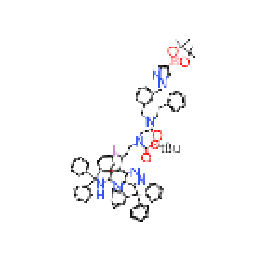 CC(C)(C)OC(=O)N(C/C=C(\I)c1cc(NC(c2ccccc2)(c2ccccc2)c2ccccc2)nc2c1N=NC2C(c1ccccc1)(c1ccccc1)c1ccccc1)CC(=O)N(CCc1ccccc1)Cc1cccc(Cn2cc(B3OC(C)(C)C(C)(C)O3)cn2)c1